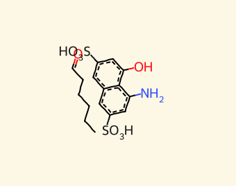 CCCCCC=O.Nc1cc(S(=O)(=O)O)cc2cc(S(=O)(=O)O)cc(O)c12